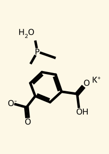 CP(C)C.O.O=C([O-])c1cccc(C(=O)O)c1.[K+]